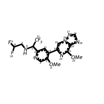 COc1cnc(C(NCC(F)F)C(F)(F)F)cc1-c1cn2ncnc2c(OC)n1